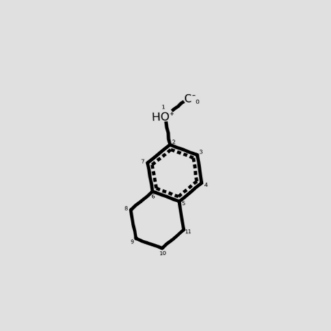 [CH2-][OH+]c1ccc2c(c1)CCCC2